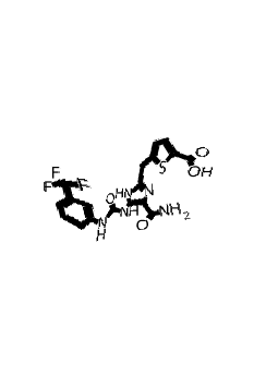 NC(=O)c1nc(Cc2ccc(C(=O)O)s2)[nH]c1NC(=O)Nc1cccc(C(F)(F)F)c1